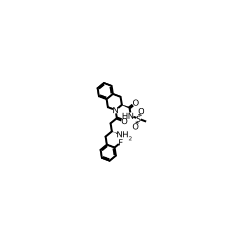 CS(=O)(=O)NC(=O)[C@@H]1Cc2ccccc2CN1C(=O)C[C@H](N)Cc1ccccc1F